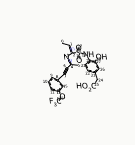 C/C=C(\N=C(/C)C#Cc1cccc(OC(F)(F)F)c1)S(=O)(=O)Nc1ccc(CC(=O)O)cc1O